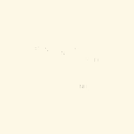 CCOc1cc(N)ccc1C(=O)N1CCN(CC)CC1